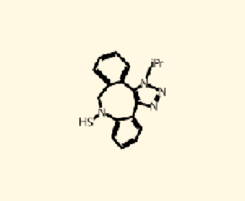 CC(C)n1nnc2c1-c1ccccc1CN(S)c1ccccc1-2